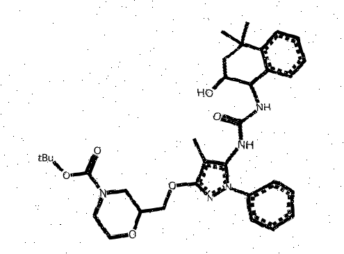 Cc1c(OCC2CN(C(=O)OC(C)(C)C)CCO2)nn(-c2ccccc2)c1NC(=O)NC1c2ccccc2C(C)(C)CC1O